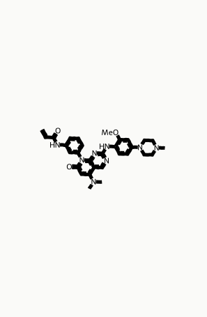 C=CC(=O)Nc1cccc(-n2c(=O)cc(N(C)C)c3cnc(Nc4ccc(N5CCN(C)CC5)cc4OC)nc32)c1